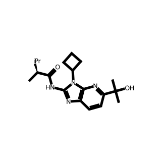 CC(C)[C@H](C)C(=O)Nc1nc2ccc(C(C)(C)O)nc2n1C1CCC1